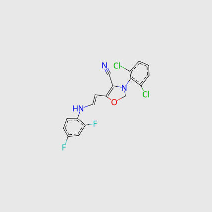 N#CC1=C(C=CNc2ccc(F)cc2F)OCN1c1c(Cl)cccc1Cl